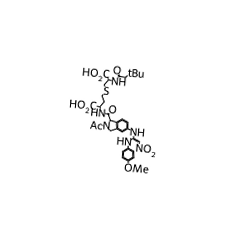 COc1ccc(NC(=C[N+](=O)[O-])Nc2ccc3c(c2)CN(C(C)=O)C3C(=O)NC(CCSCC(NC(=O)CC(C)(C)C)C(=O)O)C(=O)O)cc1